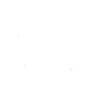 CCOC(=O)c1cc(N)ccc1Oc1cc(F)cc(F)c1